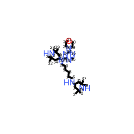 CC1(C)CC(NCCCCCCN(c2ncnc(N3CCOCC3)n2)C2CC(C)(C)NC(C)(C)C2)CC(C)(C)N1